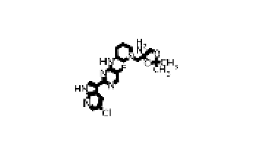 CC1(C)OC[C@](N)(CN2CCC[C@H](Nc3nc(-c4c[nH]c5ncc(Cl)cc45)ncc3F)C2)O1